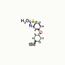 Cc1nc2cc(O[C@H]3CC[C@H](C(C)(C)C)CC3)ccc2s1